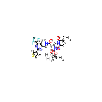 C[C@H]1CCC(=O)N(CC(CC(=O)N2CCc3c(nc(-c4ccsc4)nc3C(F)(F)F)C2)NC(=O)OC(C)(C)C)C1=O